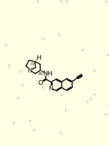 C#Cc1ccc2cnc(C(=O)N[C@@H]3C[C@@H]4CCN(C4)C3)cc2c1